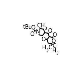 CC1CC(C(=O)C2C(=O)CC(C)(C)OC2=O)CCN1C(=O)OC(C)(C)C